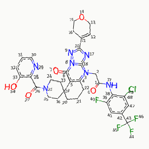 O=C(Cn1c2c(c(=O)n3nc(C4=CCOCC4)nc13)C1(CCC2)CCN(C(=O)c2ncccc2O)CC1)Nc1c(F)cc(C(F)(F)F)cc1Cl